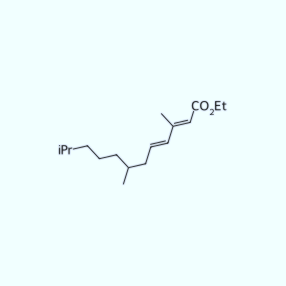 CCOC(=O)/C=C(C)/C=C/CC(C)CCCC(C)C